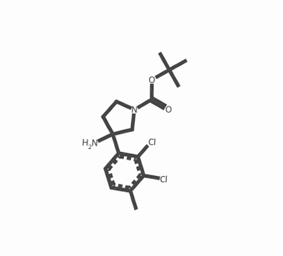 Cc1ccc(C2(N)CCN(C(=O)OC(C)(C)C)C2)c(Cl)c1Cl